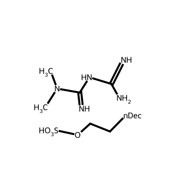 CCCCCCCCCCCCOS(=O)(=O)O.CN(C)C(=N)NC(=N)N